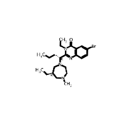 CCC[C@H](c1nc2ccc(Br)cc2c(=O)n1CC)N1CCN(C)C[C@@H](CC)C1